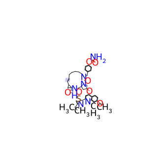 COc1ccc2c(OC3CC4C(=O)NC5([C]=O)CC5/C=C/CCCCCN(Cc5ccc(OC(N)=O)cc5)C(=O)N4C3)cc(-c3nc(C(C)C)cs3)nc2c1C